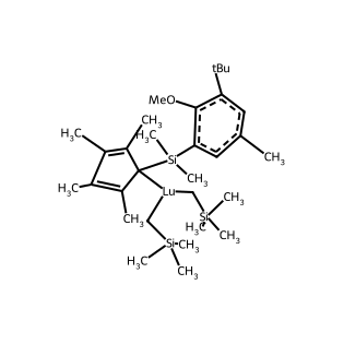 COc1c(C(C)(C)C)cc(C)cc1[Si](C)(C)[C]1([Lu]([CH2][Si](C)(C)C)[CH2][Si](C)(C)C)C(C)=C(C)C(C)=C1C